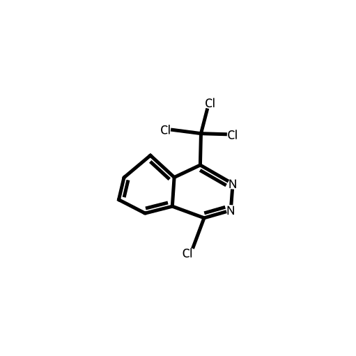 Clc1nnc(C(Cl)(Cl)Cl)c2ccccc12